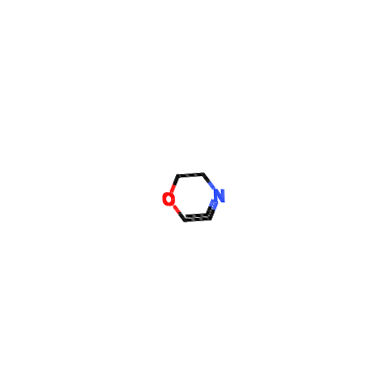 C1=COCCN=1